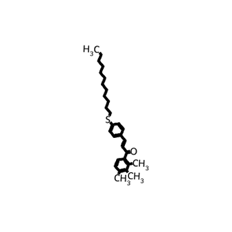 CCCCCCCCCCCCSc1ccc(C=CC(=O)c2ccc(C)c(C)c2C)cc1